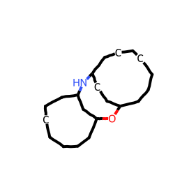 C1CCCC2CCC(CCC1)OC1CCCCCCCC(C1)N2